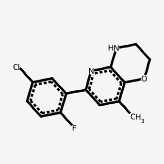 Cc1cc(-c2cc(Cl)ccc2F)nc2c1OCCN2